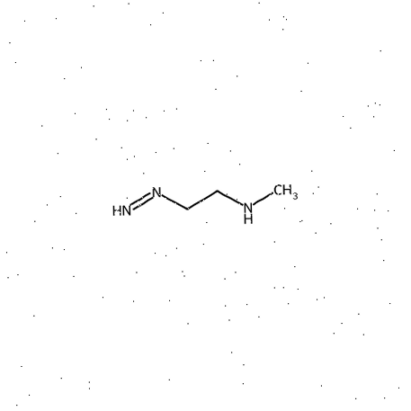 CNCCN=N